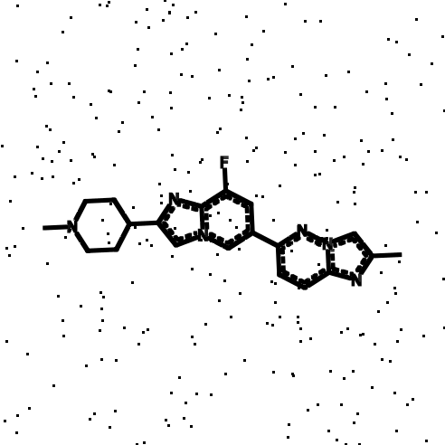 Cc1cn2nc(-c3cc(F)c4nc(C5CCN(C)CC5)cn4c3)ccc2n1